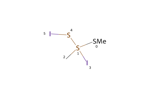 CSS(C)(I)SI